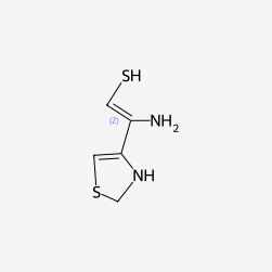 N/C(=C\S)C1=CSCN1